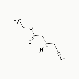 C#CC[C@H](N)CC(=O)OCC